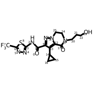 O=C(Nc1nnc(C(F)(F)F)s1)c1nn2c(c1C1CC1)C(=O)N(CCCO)CC2